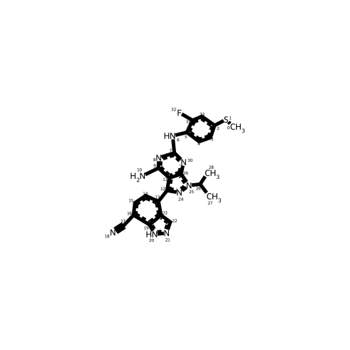 CSc1ccc(Nc2nc(N)c3c(-c4ccc(C#N)c5[nH]ncc45)nn(C(C)C)c3n2)c(F)c1